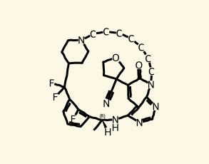 C[C@H]1Nc2ncnc3c2cc(C2(C#N)CCOC2)c(=O)n3CCCCCCCN2CCC(CC2)C(F)(F)c2cccc1c2F